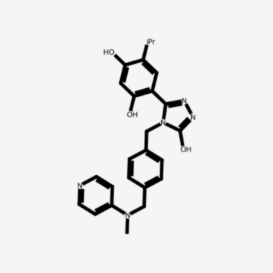 CC(C)c1cc(-c2nnc(O)n2Cc2ccc(CN(C)c3ccncc3)cc2)c(O)cc1O